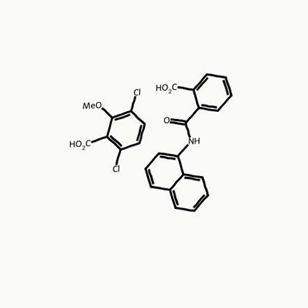 COc1c(Cl)ccc(Cl)c1C(=O)O.O=C(O)c1ccccc1C(=O)Nc1cccc2ccccc12